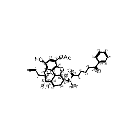 C=CCN1CC[C@]23c4c5c(O)cc(OC(C)=O)c4O[C@H]2[C@@H](N(C(=O)CCCCC(=O)c2ccccc2)C(C)C)CC[C@H]3[C@H]1C5